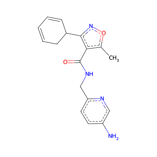 Cc1onc(C2C=CC=CC2)c1C(=O)NCc1ccc(N)cn1